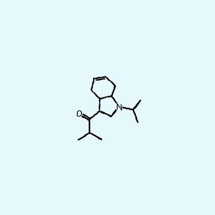 CC(C)C(=O)C1CN(C(C)C)C2CC=CCC12